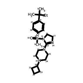 CCC(C)(C)c1ccc([SH](C)(=O)N2CCN=C2N2CCN(C3CCC3)CC2)cc1